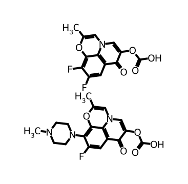 CC1=Cn2cc(OC(=O)O)c(=O)c3cc(F)c(F)c(c32)O1.CC1=Cn2cc(OC(=O)O)c(=O)c3cc(F)c(N4CCN(C)CC4)c(c32)O1